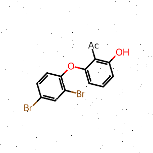 CC(=O)c1c(O)cccc1Oc1ccc(Br)cc1Br